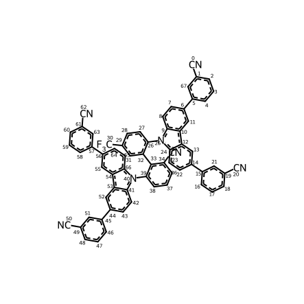 N#Cc1cccc(-c2ccc3c(c2)c2cc(-c4cccc(C#N)c4)ccc2n3-c2ccc(C(F)(F)F)cc2-c2c(C#N)cccc2-n2c3ccc(-c4cccc(C#N)c4)cc3c3cc(-c4cccc(C#N)c4)ccc32)c1